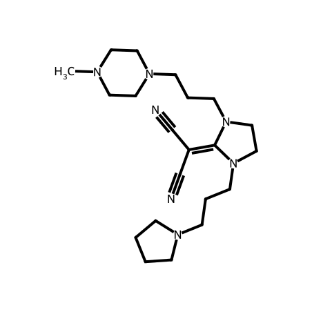 CN1CCN(CCCN2CCN(CCCN3CCCC3)C2=C(C#N)C#N)CC1